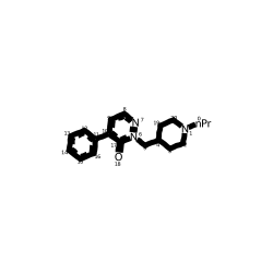 CCCN1CCC(Cn2nccc(-c3ccccc3)c2=O)CC1